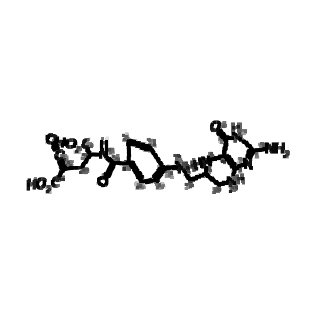 Nc1nc2c(c(=O)[nH]1)NC(CNc1ccc(C(=O)NC(CC(=C=O)C(=O)O)C(=O)O)cc1)CN2